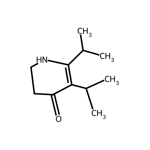 CC(C)C1=C(C(C)C)C(=O)CCN1